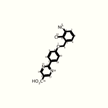 N#Cc1cccc(COc2ccc(-c3ncc(C(=O)O)cn3)cc2)c1Cl